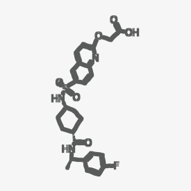 C[C@@H](NC(=O)[C@H]1CC[C@H](NS(=O)(=O)c2ccc3nc(OCC(=O)O)ccc3c2)CC1)c1ccc(F)cc1